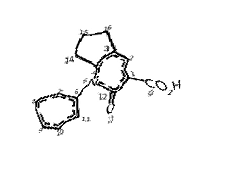 O=C(O)c1cc2c(n(-c3ccccc3)c1=O)CCC2